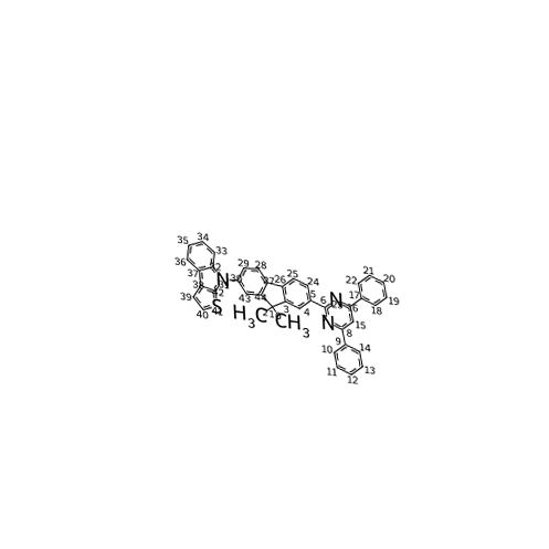 CC1(C)c2cc(-c3nc(-c4ccccc4)cc(-c4ccccc4)n3)ccc2-c2ccc(-n3c4ccccc4c4ccsc43)cc21